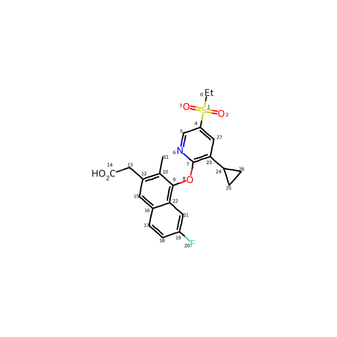 CCS(=O)(=O)c1cnc(Oc2c(C)c(CC(=O)O)cc3ccc(F)cc23)c(C2CC2)c1